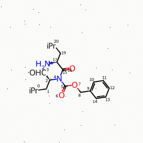 CC(C)C[C@@H]([C]=O)N(C(=O)OCc1ccccc1)C(=O)[C@@H](N)CC(C)C